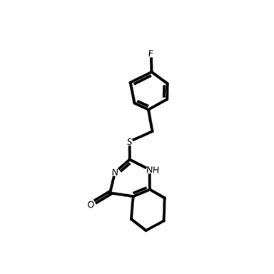 O=c1nc(SCc2ccc(F)cc2)[nH]c2c1CCCC2